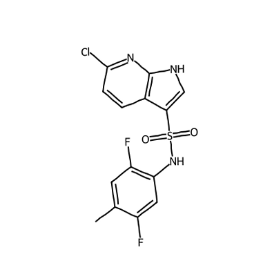 Cc1cc(F)c(NS(=O)(=O)c2c[nH]c3nc(Cl)ccc23)cc1F